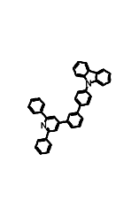 c1ccc(-c2cc(-c3cccc(-c4ccc(-n5c6ccccc6c6ccccc65)cc4)c3)cc(-c3ccccc3)n2)cc1